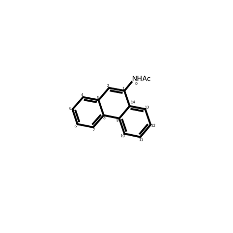 CC(=O)Nc1cc2ccccc2c2ccccc12